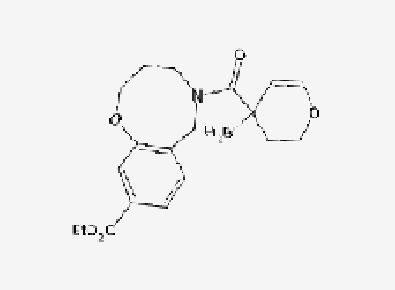 BC1(C(=O)N2CCCOc3cc(C(=O)OCC)ccc3C2)C=COCC1